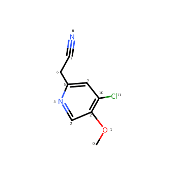 COc1cnc(CC#N)cc1Cl